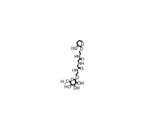 C[C@@H]1O[C@@H](OCCNC(=O)CNCC(=O)NCCO[C@@H]2OCCC[C@@H]2O)[C@@H](O)[C@H](O)[C@@H]1O